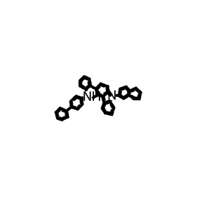 Cc1c(-c2ccccc2Nc2ccc(-c3ccccc3)cc2)ccc2c1c1ccccc1n2-c1ccc2ccccc2c1